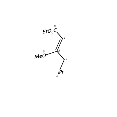 CCOC(=O)/C=C(/CC(C)C)OC